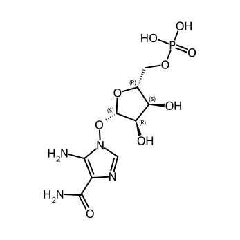 NC(=O)c1ncn(O[C@@H]2O[C@H](COP(=O)(O)O)[C@@H](O)[C@H]2O)c1N